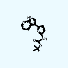 CC(C)(C)OC(=O)Nc1ccc(-c2c[nH]c3ncccc23)s1